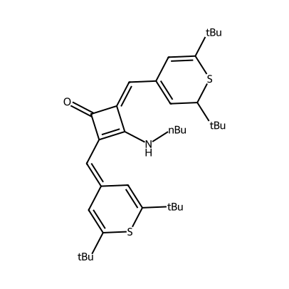 CCCCNC1=C(C=C2C=C(C(C)(C)C)SC(C(C)(C)C)=C2)C(=O)C1=CC1=CC(C(C)(C)C)SC(C(C)(C)C)=C1